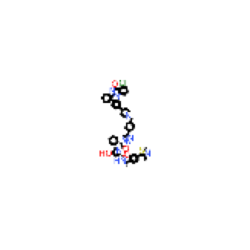 Cc1ncsc1-c1ccc([C@H](C)NC(=O)[C@@H]2C[C@@H](O)CN2C(=O)[C@H](C2CCCCC2)n2cc(C3CCC(CN4CCC(c5ccc6c(c5)-n5c(nc(=O)c7c(Cl)cccc75)C65CCCCC5)CC4)CC3)nn2)cc1